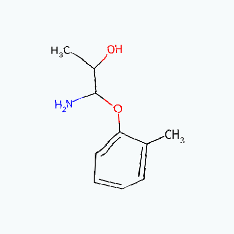 Cc1ccccc1OC(N)C(C)O